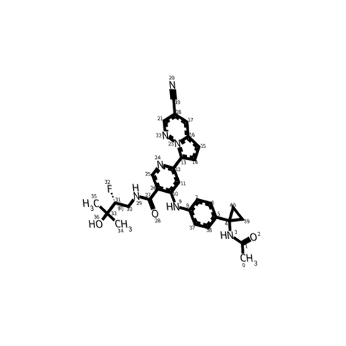 CC(=O)NC1(c2ccc(Nc3cc(-c4ccc5cc(C#N)cnn45)ncc3C(=O)NC[C@@H](F)C(C)(C)O)cc2)CC1